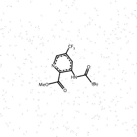 COC(=O)c1ncc(C(F)(F)F)cc1NC(=O)C(C)(C)C